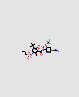 CCCS(=O)(=O)Nc1cc(C(C)(C)C)c(O)c(C(=O)Nc2ccc(C#N)cc2OC(F)(F)F)c1C